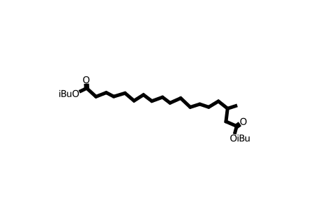 CC(C)COC(=O)CCCCCCCCCCCCCCC(C)CC(=O)OCC(C)C